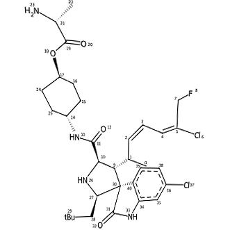 CC(/C=C\C=C(\Cl)CF)[C@H]1[C@H](C(=O)N[C@H]2CC[C@H](OC(=O)[C@@H](C)N)CC2)N[C@H](CC(C)(C)C)[C@]12C(=O)Nc1cc(Cl)ccc12